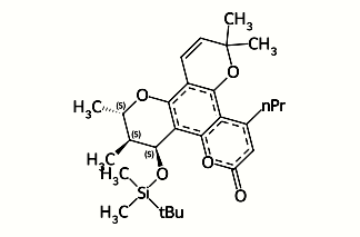 CCCc1cc(=O)oc2c3c(c4c(c12)OC(C)(C)C=C4)O[C@@H](C)[C@H](C)[C@@H]3O[Si](C)(C)C(C)(C)C